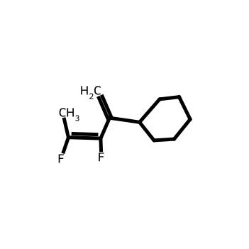 C=C(/C(F)=C(\C)F)C1CCCCC1